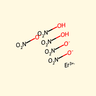 O=[N+]([O-])O.O=[N+]([O-])O.O=[N+]([O-])[O-].O=[N+]([O-])[O-].O=[N+]([O-])[O-].[Er+3]